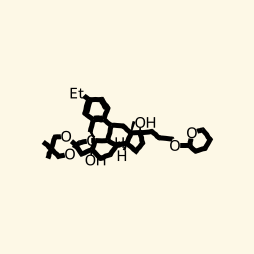 CCc1ccc2c(c1)C[C@]13CCC4(C[C@]1(O)CC[C@@H]1C3C2C[C@@]2(C)[C@@H]1CC[C@]2(O)CCCOC1CCCCO1)OCC(C)(C)CO4